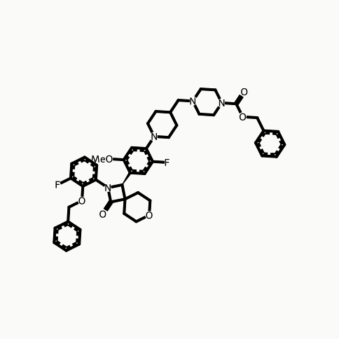 COc1cc(N2CCC(CN3CCN(C(=O)OCc4ccccc4)CC3)CC2)c(F)cc1[C@@H]1N(c2cccc(F)c2OCc2ccccc2)C(=O)C12CCOCC2